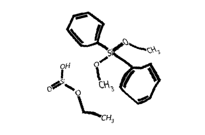 CCO[Si](=O)O.CO[Si](OC)(c1ccccc1)c1ccccc1